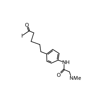 CNCC(=O)Nc1ccc(CCCCC(=O)I)cc1